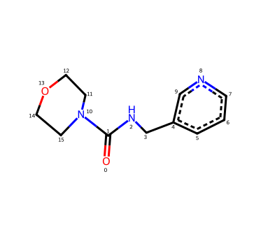 O=C(NCc1cccnc1)N1CCOCC1